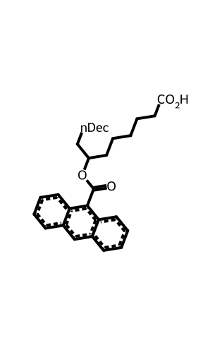 CCCCCCCCCCCC(CCCCCC(=O)O)OC(=O)c1c2ccccc2cc2ccccc12